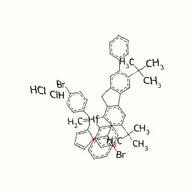 Cl.Cl.[CH2]=[Hf]([C]1=CC=CC1)([c]1ccc(Br)cc1)([c]1ccc(Br)cc1)[c]1c2c(cc(C(C)(C)C)c1-c1ccccc1)-c1cc(C(C)(C)C)c(-c3ccccc3)cc1C2